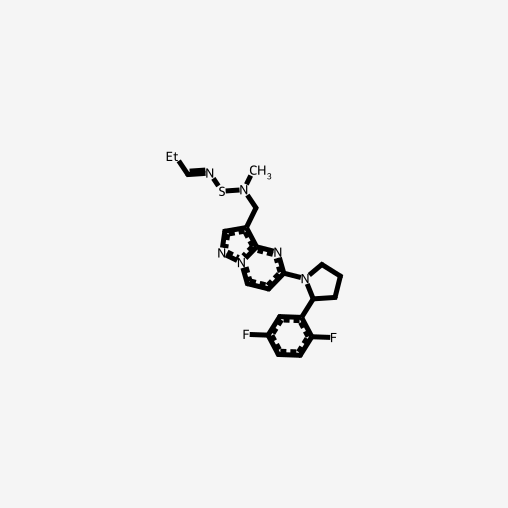 CCC=NSN(C)Cc1cnn2ccc(N3CCCC3c3cc(F)ccc3F)nc12